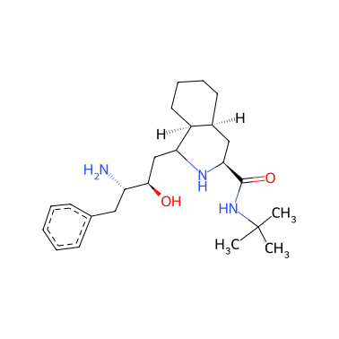 CC(C)(C)NC(=O)[C@@H]1C[C@@H]2CCCC[C@@H]2C(C[C@@H](O)[C@@H](N)Cc2ccccc2)N1